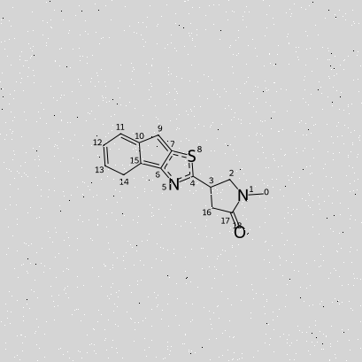 CN1CC(c2nc3c(s2)=CC2=CC=CCC=32)CC1=O